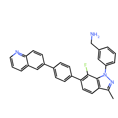 Cc1nn(-c2cccc(CN)c2)c2c(F)c(-c3ccc(-c4ccc5ncccc5c4)cc3)ccc12